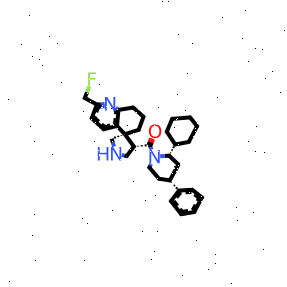 O=C([C@@H]1CNC[C@]12CCCc1nc(CF)ccc12)N1CC[C@@H](c2ccccc2)C[C@H]1C1CCCCC1